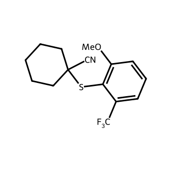 COc1cccc(C(F)(F)F)c1SC1(C#N)CCCCC1